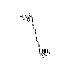 CCN(CC#CC#CCCC#CC#CCCC#CC#CCN(CC)C(N)=O)C(N)=O